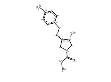 CC(C)(C)OC(=O)N1C[C@@H](C#N)[C@H](OCc2ccc(C(F)(F)F)cc2)C1